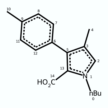 CCCCn1cc(C)c(-c2ccc(C)cc2)c1C(=O)O